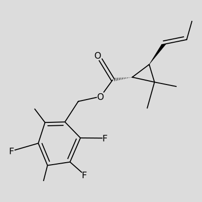 CC=C[C@@H]1[C@@H](C(=O)OCc2c(C)c(F)c(C)c(F)c2F)C1(C)C